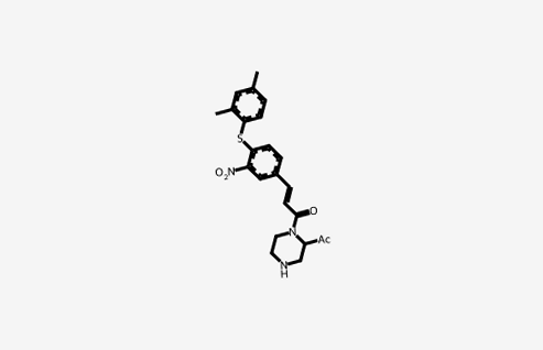 CC(=O)C1CNCCN1C(=O)C=Cc1ccc(Sc2ccc(C)cc2C)c([N+](=O)[O-])c1